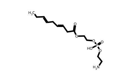 CC/C=C/CC=CCC(=O)OCCOP(=O)(O)OCCN